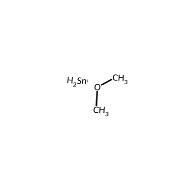 COC.[SnH2]